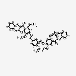 C=Nc1cc(OCc2ccc(OC)c(COc3cc4c(cc3OC)C(=O)N3Cc5ccccc5C[C@H]3C=N4)n2)c(OC)cc1C(=O)N1Cc2ccccc2C[C@H]1C